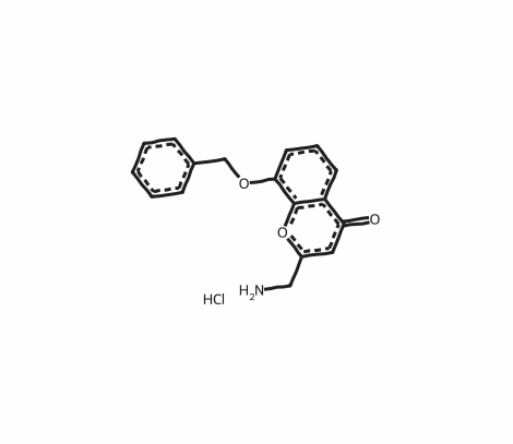 Cl.NCc1cc(=O)c2cccc(OCc3ccccc3)c2o1